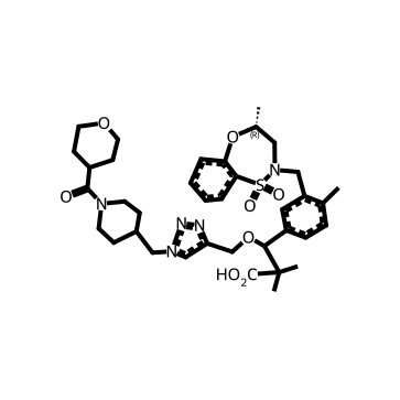 Cc1ccc(C(OCc2cn(CC3CCN(C(=O)C4CCOCC4)CC3)nn2)C(C)(C)C(=O)O)cc1CN1C[C@@H](C)Oc2ccccc2S1(=O)=O